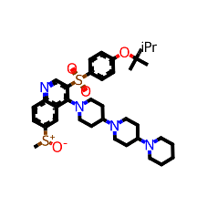 CC(C)C(C)(C)Oc1ccc(S(=O)(=O)c2cnc3ccc([S+](C)[O-])cc3c2N2CCC(N3CCC(N4CCCCC4)CC3)CC2)cc1